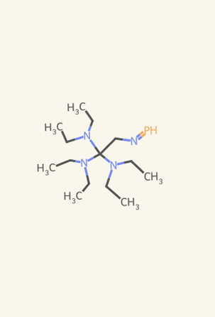 CCN(CC)C(CN=P)(N(CC)CC)N(CC)CC